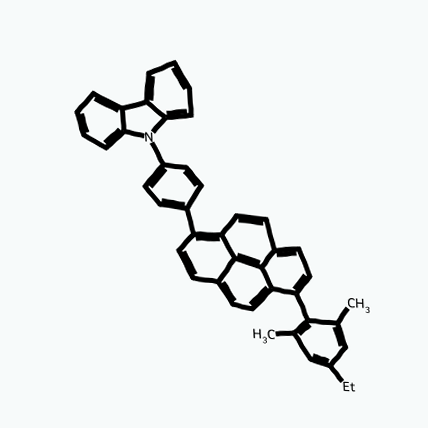 CCc1cc(C)c(-c2ccc3ccc4c(-c5ccc(-n6c7ccccc7c7ccccc76)cc5)ccc5ccc2c3c54)c(C)c1